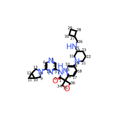 O=C(Nc1cncc(N2CC3CC3C2)n1)C1(c2ccc(N3CCC[C@@H](NCC4CCC4)C3)cn2)COC1